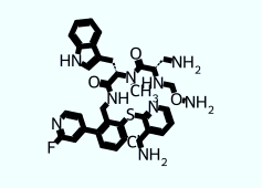 CN(C(=O)[C@H](CN)NCON)[C@@H](Cc1c[nH]c2ccccc12)C(=O)NCc1c(-c2ccnc(F)c2)ccc(Cl)c1Sc1ncccc1CN